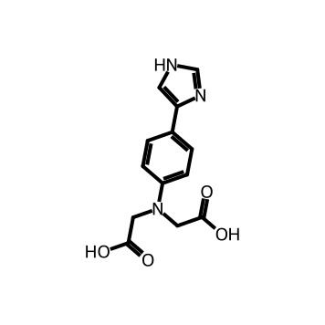 O=C(O)CN(CC(=O)O)c1ccc(-c2c[nH]cn2)cc1